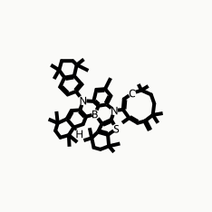 C=C1/C=C(C)\C(N2c3cc(C)cc4c3B(C3=C(C=C5[C@H](C3)C(C)(C)CCC5(C)C)N4c3ccc4c(c3)C(C)(C)CCC4(C)C)c3c2sc2c3C(C)(C)CCC2(C)C)=C/CC(C)(C)CCC1(C)C